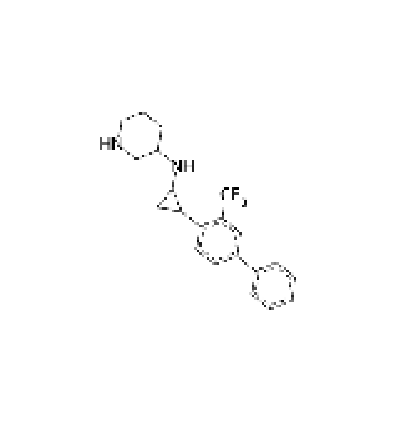 FC(F)(F)c1cc(-c2ccccc2)ccc1C1CC1NC1CCCNC1